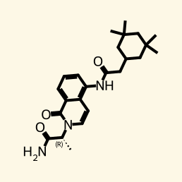 C[C@H](C(N)=O)n1ccc2c(NC(=O)CC3CC(C)(C)CC(C)(C)C3)cccc2c1=O